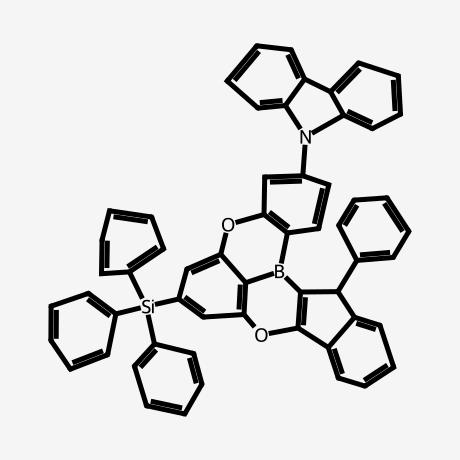 c1ccc(C2C3=C(Oc4cc([Si](c5ccccc5)(c5ccccc5)c5ccccc5)cc5c4B3c3ccc(-n4c6ccccc6c6ccccc64)cc3O5)c3ccccc32)cc1